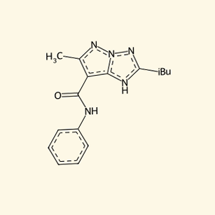 CCC(C)c1nn2nc(C)c(C(=O)Nc3ccccc3)c2[nH]1